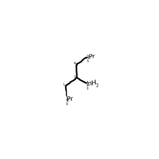 CC(C)C[CH]([InH2])CC(C)C